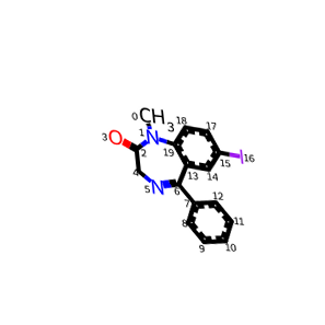 CN1C(=O)CN=C(c2ccccc2)c2cc(I)ccc21